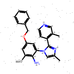 COc1cc(OCc2ccccc2)cc(-n2cc(C)nc2-c2ccncc2C)c1N